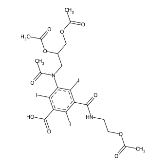 CC(=O)OCCNC(=O)c1c(I)c(C(=O)O)c(I)c(N(CC(COC(C)=O)OC(C)=O)C(C)=O)c1I